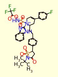 CC(C)(C)N1C(=O)CC(c2ccc(CCC3CC(c4ccc(F)cc4)=CC[N+]3(c3nc4ccccc4[nH]3)S(=O)(=O)NOC(=O)C(F)(F)F)cc2)S1(=O)=O